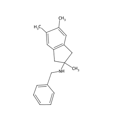 Cc1cc2c(cc1C)CC(C)(NCc1ccccc1)C2